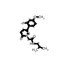 COc1ccc(-c2ccc(=O)n(CC(=O)NCC(C)C)n2)c(F)c1